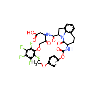 COc1ccc(OC(=O)NC2CCc3cccc4c3N(C2=O)C(C(=O)NC(CC(=O)O)C(=O)COc2c(F)c(F)c(F)c(F)c2F)C4)cc1